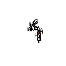 Cc1ccc(N2C[C@@H]3C[C@H]2CN3C(=O)c2cc3[nH]c(=O)c4cnc(C5CCOCC5)n4c3cc2C)cc1